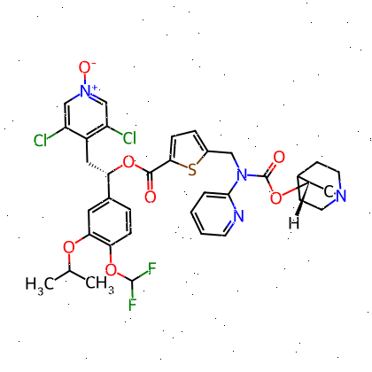 CC(C)Oc1cc([C@H](Cc2c(Cl)c[n+]([O-])cc2Cl)OC(=O)c2ccc(CN(C(=O)O[C@H]3CN4CCC3CC4)c3ccccn3)s2)ccc1OC(F)F